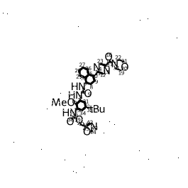 COc1c(NC(=O)Nc2ccc(-c3cnc(C(=O)N4CCOCC4)cn3)c3ccccc23)cc(C(C)(C)C)cc1NC(=O)OCc1cnco1